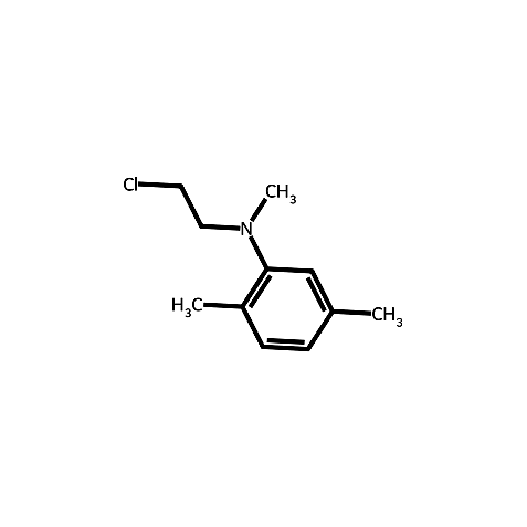 Cc1ccc(C)c(N(C)CCCl)c1